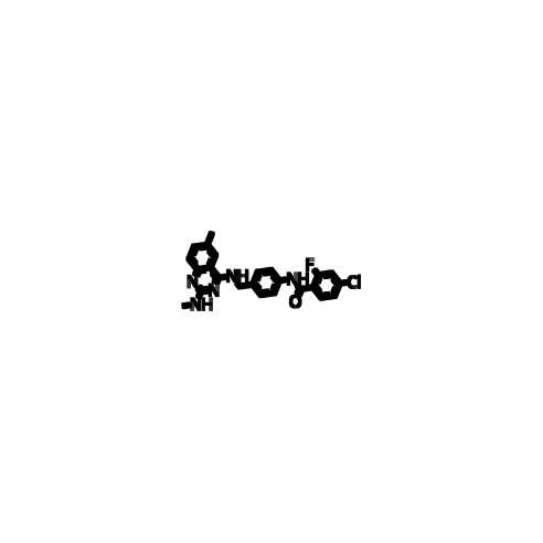 CNc1nc(NCc2ccc(NC(=O)c3ccc(Cl)cc3F)cc2)c2cc(C)ccc2n1